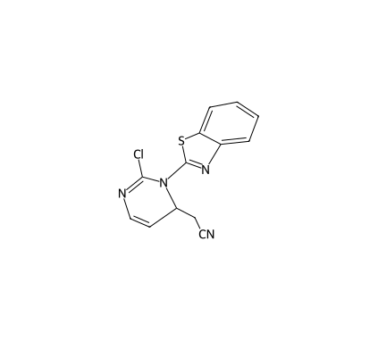 N#CCC1C=CN=C(Cl)N1c1nc2ccccc2s1